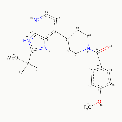 COC(C)(C)c1nc2c(C3CCN(C(=O)c4ccc(OC(F)(F)F)cc4)CC3)ccnc2[nH]1